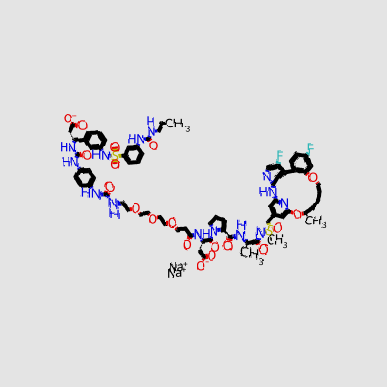 CCCNC(=O)Nc1cccc(S(=O)(=O)Nc2cccc([C@@H](CC(=O)[O-])NC(=O)Nc3ccc(NC(=O)NCCOCCOCCOCCC(=O)N[C@@H](CC(=O)[O-])C(=O)N4CCC[C@H]4C(=O)N[C@@H](C)C(=O)N=[S@](C)(=O)Cc4cc5nc(c4)O[C@@H](C)CCCCOc4cc(F)ccc4-c4cc(ncc4F)N5)cc3)c2)c1.[Na+].[Na+]